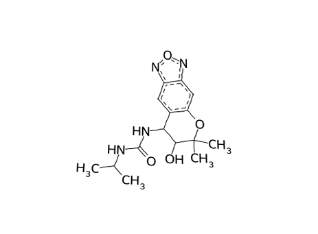 CC(C)NC(=O)NC1c2cc3nonc3cc2OC(C)(C)C1O